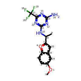 COc1ccc2oc(C(C)Nc3nc(N)nc(C(F)(F)F)n3)cc2c1